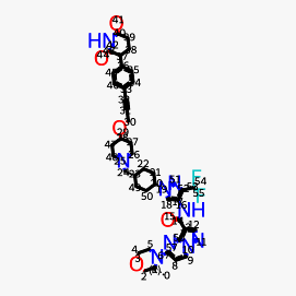 C[C@@H]1COCCN1c1ccn2ncc(C(=O)Nc3cn([C@H]4CC[C@H](CN5CCC(OCC#Cc6ccc(C7CCC(=O)NC7=O)cc6)CC5)CC4)nc3C(F)F)c2n1